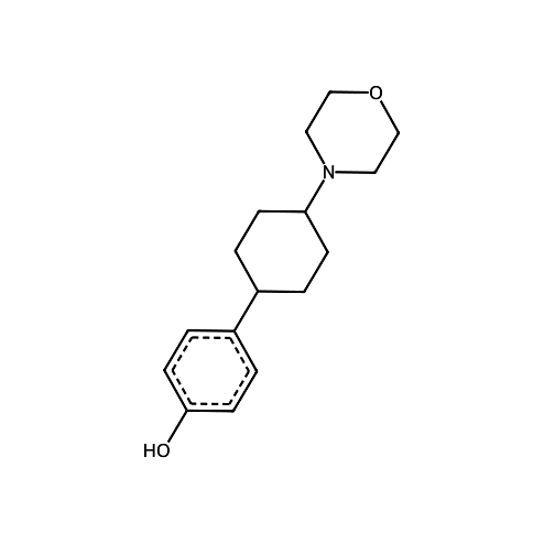 Oc1ccc(C2CCC(N3CCOCC3)CC2)cc1